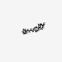 Fc1cnc(N2CCN(CCCCn3cccn3)CC2)nc1